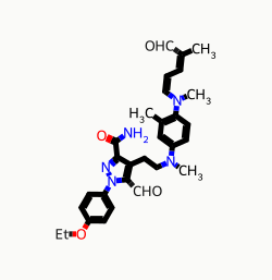 CCOc1ccc(-n2nc(C(N)=O)c(CCN(C)c3ccc(N(C)/C=C\C=C(\C)C=O)c(C)c3)c2C=O)cc1